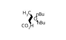 CC=CC(=O)O.CCCCOCCCC